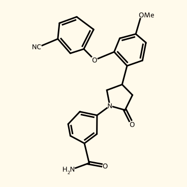 COc1ccc(C2CC(=O)N(c3cccc(C(N)=O)c3)C2)c(Oc2cccc(C#N)c2)c1